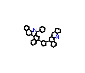 c1ccc(-c2nc3c4ccccc4ccc3c3c2cc(-c2cccc(-c4cc5cc6ccccc6nc5c5ccccc45)c2)c2ccccc23)cc1